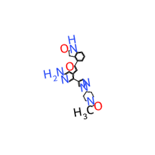 CC(=O)N1CCC(n2cc(-c3cnc(N)c4oc(-c5cccc6c5CC(=O)N6)cc34)cn2)CC1